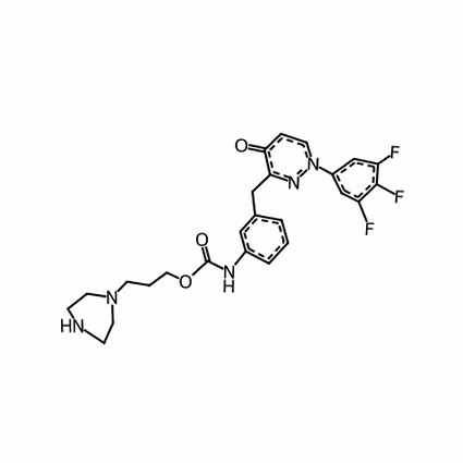 O=C(Nc1cccc(Cc2nn(-c3cc(F)c(F)c(F)c3)ccc2=O)c1)OCCCN1CCNCC1